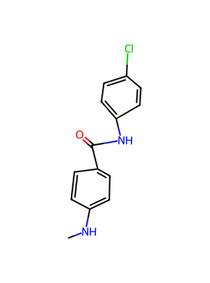 CNc1ccc(C(=O)Nc2ccc(Cl)cc2)cc1